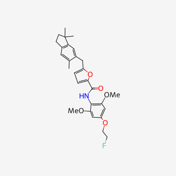 COc1cc(OCCF)cc(OC)c1NC(=O)c1ccc(Cc2cc3c(cc2C)CCC3(C)C)o1